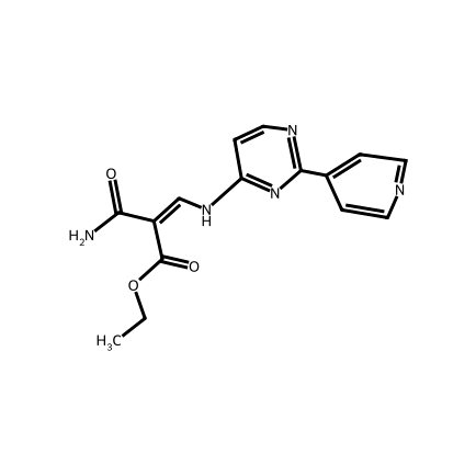 CCOC(=O)C(=CNc1ccnc(-c2ccncc2)n1)C(N)=O